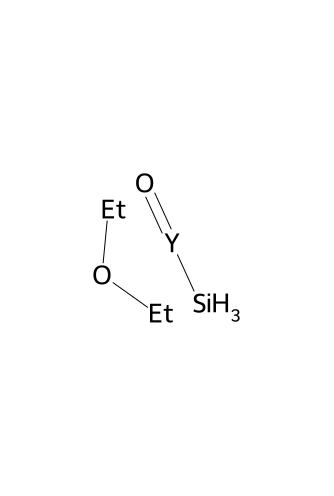 CCOCC.[O]=[Y][SiH3]